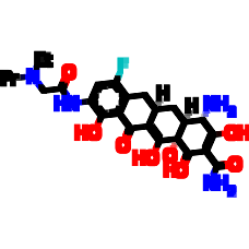 CCN(CC(=O)Nc1cc(F)c2c(c1O)C(=O)C1=C(O)[C@]3(O)C(=O)C(C(N)=O)=C(O)[C@@H](N)[C@@H]3C[C@@H]1C2)C(C)C